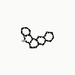 [c]1cc2cc3ccccc3cc2c2c1[nH]c1ccccc12